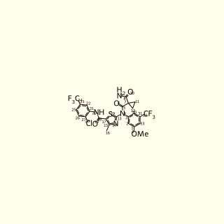 COc1cc(N(C(=O)C2(C(N)=O)CC2)c2nc(C)c(C(=O)Nc3cc(C(F)(F)F)ccc3Cl)s2)cc(C(F)(F)F)c1